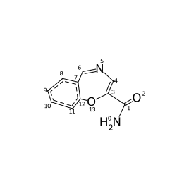 NC(=O)C1=CN=Cc2ccccc2O1